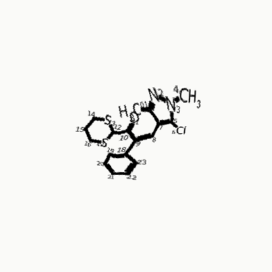 Cc1nn(C)c(Cl)c1C=C(C(=O)C1SCCCS1)c1ccccc1